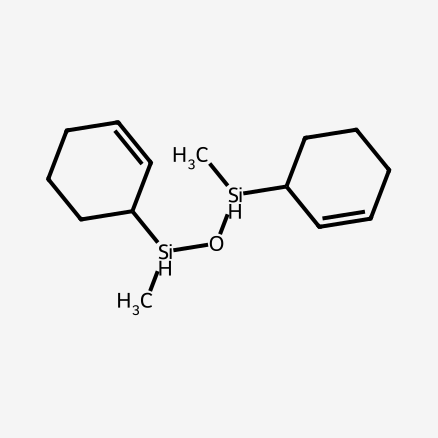 C[SiH](O[SiH](C)C1C=CCCC1)C1C=CCCC1